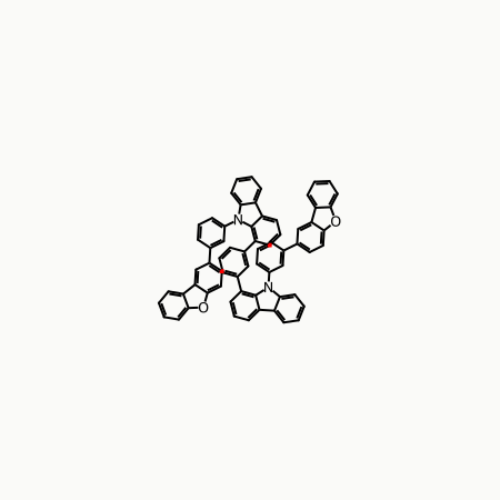 c1cc(-c2cccc3c4ccccc4n(-c4cccc(-c5ccc6oc7ccccc7c6c5)c4)c23)cc(-c2cccc3c4ccccc4n(-c4cccc(-c5ccc6oc7ccccc7c6c5)c4)c23)c1